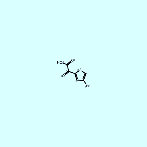 O=C(O)C(=O)c1cc(Br)cs1